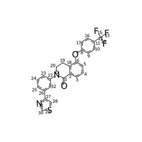 O=C1c2cccc(Oc3ccc(C(F)(F)F)cc3)c2CCN1c1cccc(-c2cscn2)c1